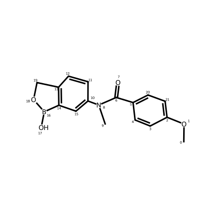 COc1ccc(C(=O)N(C)c2ccc3c(c2)B(O)OC3)cc1